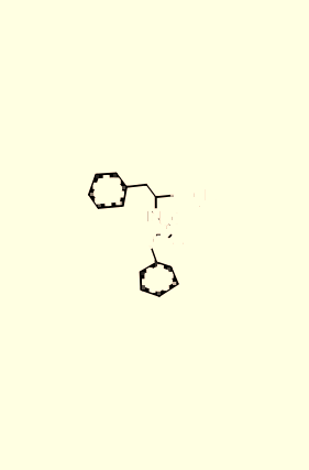 CCOC(=O)C(Cc1ccccc1)NP(=O)(Cl)Oc1ccccc1